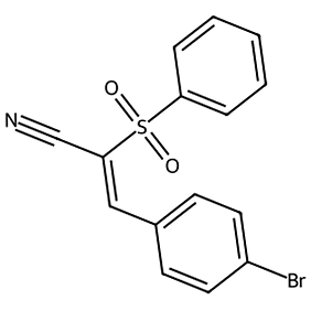 N#CC(=Cc1ccc(Br)cc1)S(=O)(=O)c1ccccc1